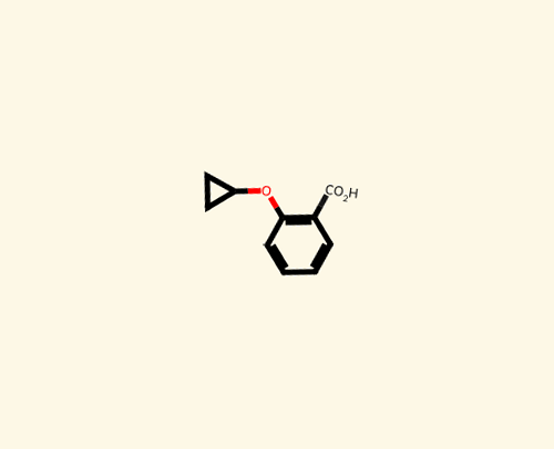 O=C(O)c1ccc[c]c1OC1CC1